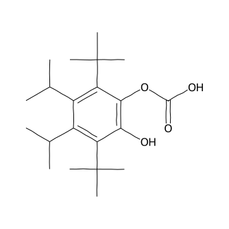 CC(C)c1c(C(C)C)c(C(C)(C)C)c(OC(=O)O)c(O)c1C(C)(C)C